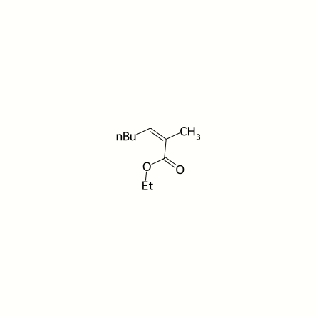 CCCCC=C(C)C(=O)OCC